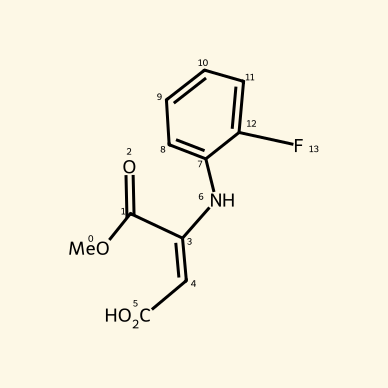 COC(=O)C(=CC(=O)O)Nc1ccccc1F